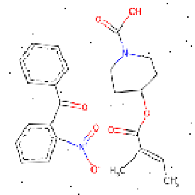 CC=C(C)C(=O)OC1CCN(C(=O)O)CC1.O=C(c1ccccc1)c1ccccc1[N+](=O)[O-]